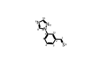 S=Cc1cccc(-n2cncn2)c1